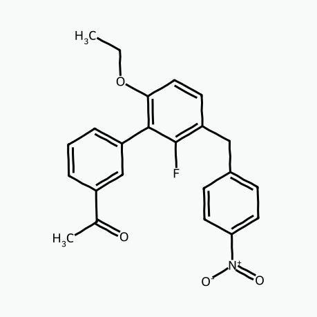 CCOc1ccc(Cc2ccc([N+](=O)[O-])cc2)c(F)c1-c1cccc(C(C)=O)c1